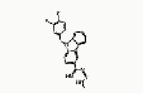 CN/N=N\C(=N)c1ccc2c(c1)c1ccccc1n2Cc1ccc(F)c(F)c1